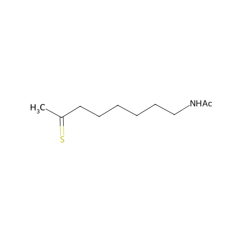 CC(=O)NCCCCCCC(C)=S